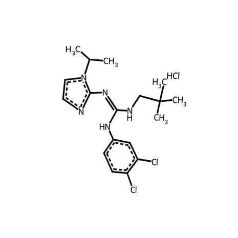 CC(C)n1ccnc1/N=C(/NCC(C)(C)C)Nc1ccc(Cl)c(Cl)c1.Cl